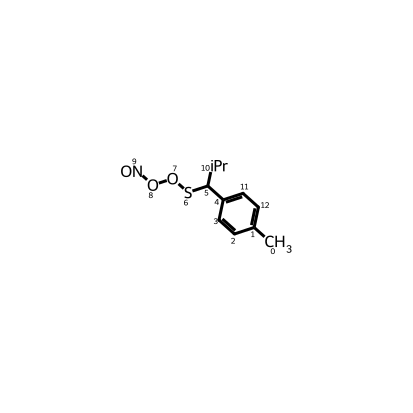 Cc1ccc(C(SOON=O)C(C)C)cc1